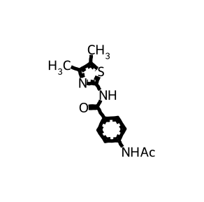 CC(=O)Nc1ccc(C(=O)Nc2nc(C)c(C)s2)cc1